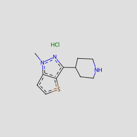 Cl.Cn1nc(C2CCNCC2)c2sccc21